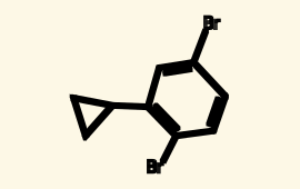 Brc1ccc(Br)c(C2CC2)c1